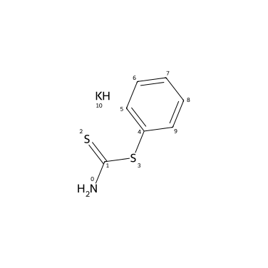 NC(=S)Sc1ccccc1.[KH]